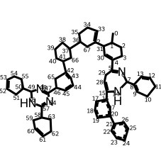 CC1CCC(C2=NC(C3=CCCC=C3)NC(c3cccc(-c4ccccc4)c3)=CC2)=CC1C1=CCCC(C2CCCC(C3=CC=CC(C4=NC(C5CC=CCC5)NC(C5CC=CCC5)=N4)C3)C2)C1